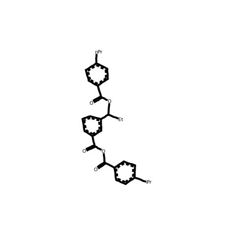 CCCc1ccc(C(=O)OC(CC)c2cccc(C(=O)OC(=O)c3ccc(C(C)C)cc3)c2)cc1